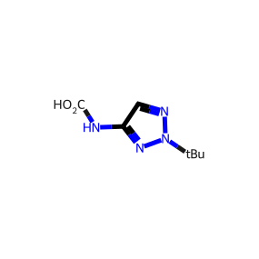 CC(C)(C)n1ncc(NC(=O)O)n1